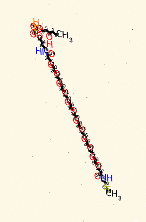 CCCC(O)CCO[PH](=O)[PH](=O)OCCCCNC(=O)CCOCCOCCOCCOCCOCCOCCOCCOCCOCCOCCOCCOCCC(=O)NCCSSC